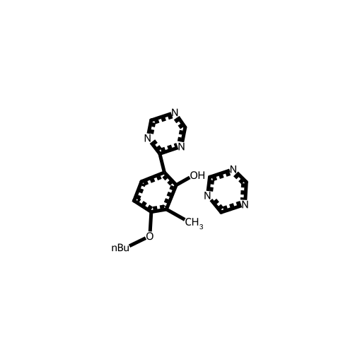 CCCCOc1ccc(-c2ncncn2)c(O)c1C.c1ncncn1